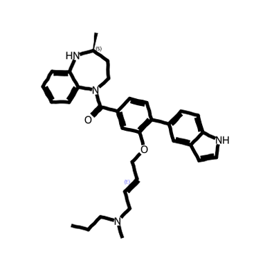 CCCN(C)C/C=C/COc1cc(C(=O)N2CC[C@H](C)Nc3ccccc32)ccc1-c1ccc2[nH]ccc2c1